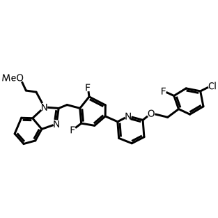 COCCn1c(Cc2c(F)cc(-c3cccc(OCc4ccc(Cl)cc4F)n3)cc2F)nc2ccccc21